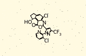 O=c1oc(-c2cc(C(F)(F)F)nn2-c2ncccc2Cl)nc2c(Cl)cc3c(c12)C(O)CC3